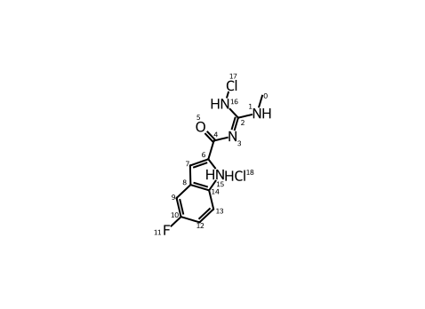 CNC(=NC(=O)c1cc2cc(F)ccc2[nH]1)NCl.Cl